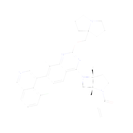 C=CC(=O)N1CC[C@@H]2[C@H]1CN2c1nc(OCC23CCCN2CCC3)nc2c(F)c(-c3cncc4cccc(Cl)c34)ccc12